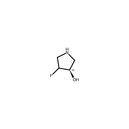 O[C@@H]1CNCC1F